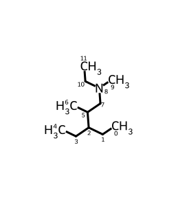 CCC(CC)C(C)CN(C)CC